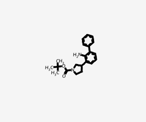 CC(C)(C)OC(=O)N1CCC(c2cccc(-c3ccccc3)c2N)C1